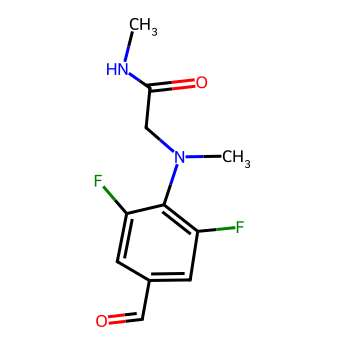 CNC(=O)CN(C)c1c(F)cc(C=O)cc1F